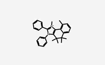 Cc1cccc2c1-c1c(n(-c3ccccc3)c(-c3ccccc3)[n+]1C)C(C)(C)C2(C)C